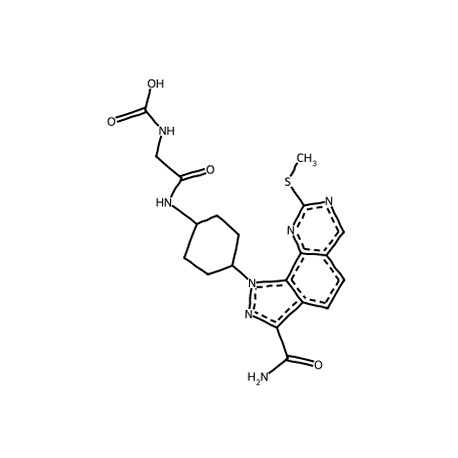 CSc1ncc2ccc3c(C(N)=O)nn(C4CCC(NC(=O)CNC(=O)O)CC4)c3c2n1